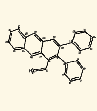 C=Cc1c(-c2ccccc2)c(-c2ccccc2)cc2cc3ccccc3cc12